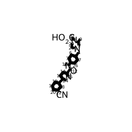 CC1CN(Cc2ccc(N(C)C(=O)c3ccc(-c4cccc(C#N)c4)cn3)cc2)CCN1C(=O)O